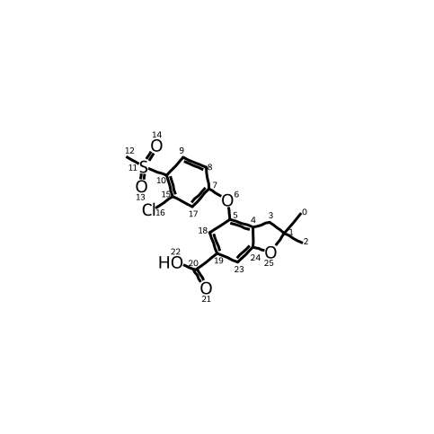 CC1(C)Cc2c(Oc3ccc(S(C)(=O)=O)c(Cl)c3)cc(C(=O)O)cc2O1